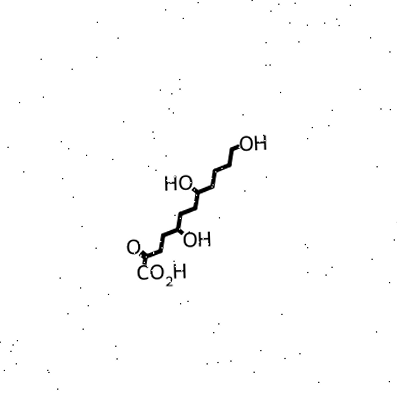 O=C(O)C(=O)CCC(O)CCC(O)CCCCO